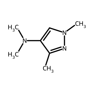 Cc1nn(C)cc1N(C)C